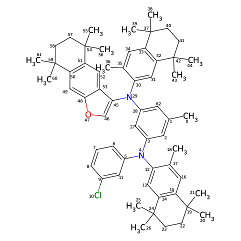 Cc1cc(N(c2cccc(Cl)c2)c2cc3c(cc2C)C(C)(C)CCC3(C)C)cc(N(c2cc3c(cc2C)C(C)(C)CCC3(C)C)c2coc3cc4c(cc23)C(C)(C)CCC4(C)C)c1